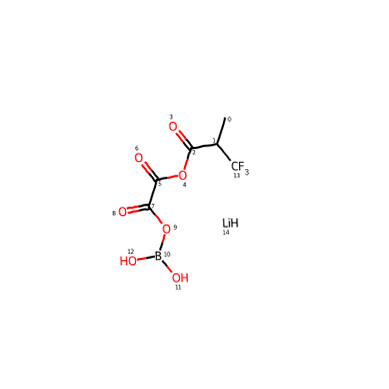 CC(C(=O)OC(=O)C(=O)OB(O)O)C(F)(F)F.[LiH]